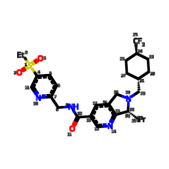 CCS(=O)(=O)c1ccc(CNC(=O)c2cnc3c(c2)CN(C[C@H]2CC[C@H](C(F)(F)F)CC2)[C@@H]3C(C)C)nc1